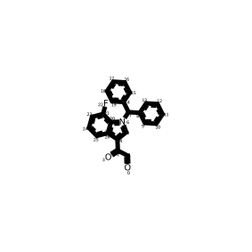 O=CC(=O)c1cn(C(c2ccccc2)c2ccccc2)c2c(F)cccc12